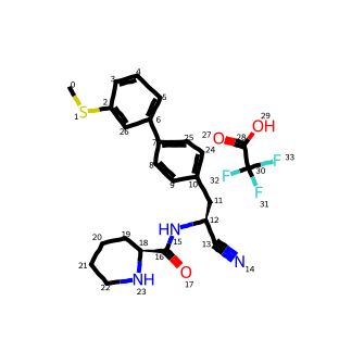 CSc1cccc(-c2ccc(C[C@@H](C#N)NC(=O)[C@@H]3CCCCN3)cc2)c1.O=C(O)C(F)(F)F